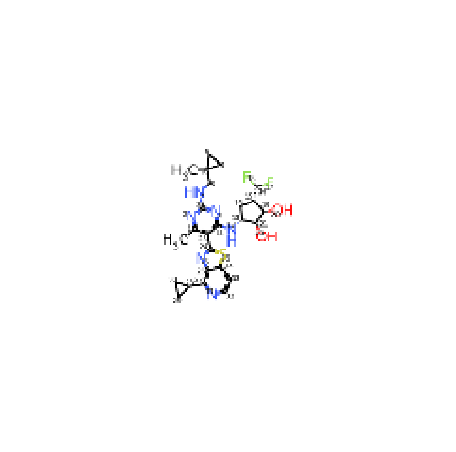 Cc1nc(NCC2(C)CC2)nc(N[C@@H]2C[C@H](C(F)F)[C@@H](O)[C@H]2O)c1-c1nc2c(C3CC3)nccc2s1